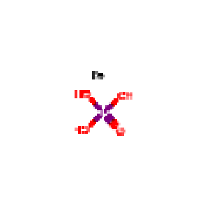 O=P(O)(O)O.[Co]